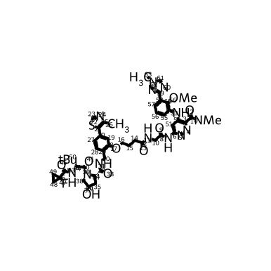 CNC(=O)c1nnc(NC(=O)CNC(=O)CCCOc2cc(-c3scnc3C)ccc2CNC(=O)[C@@H]2C[C@@H](O)CN2C(=O)[C@@H](NC(=O)C2(F)CC2)C(C)(C)C)cc1Nc1cccc(-c2ncn(C)n2)c1OC